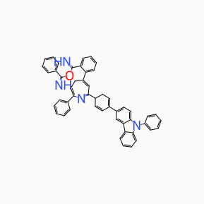 N=C(OC(=N)c1ccccc1C1=CC(C2C=CC(c3ccc4c(c3)c3ccccc3n4-c3ccccc3)=CC2)=NC(c2ccccc2)=CC1)c1ccccc1